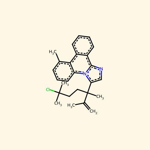 C=C(C)C(C)(CCC(C)(C)Cl)c1cnc2c3ccccc3c3c(C)cccc3n12